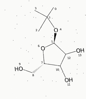 CC(C)(C)O[C@@H]1O[C@@H](CO)C(O)C1O